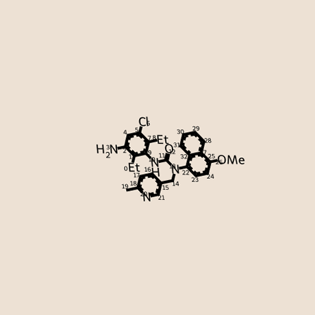 CCc1c(N)cc(Cl)c(CC)c1NC(=O)N(Cc1ccc(C)nc1)c1ccc(OC)c2ccccc12